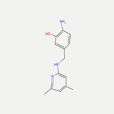 Cc1cc(C)nc(NCc2ccc(N)c(O)c2)c1